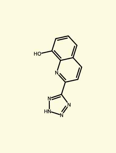 Oc1cccc2ccc(-c3nn[nH]n3)nc12